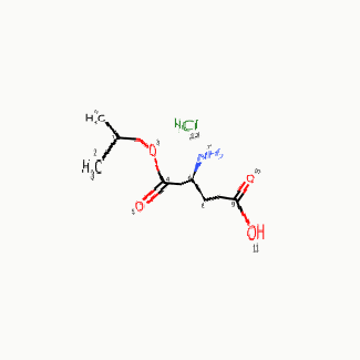 CC(C)OC(=O)[C@@H](N)CC(=O)O.Cl